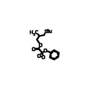 CC(COC(=O)C1(Oc2ccccc2)OO1)CC(C)(C)C